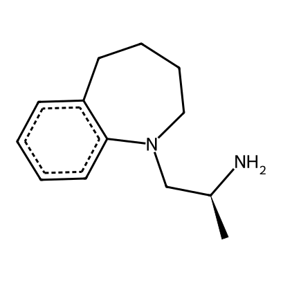 C[C@H](N)CN1CCCCc2ccccc21